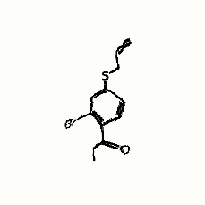 C=CCSc1ccc(C(=O)CC)c(Br)c1